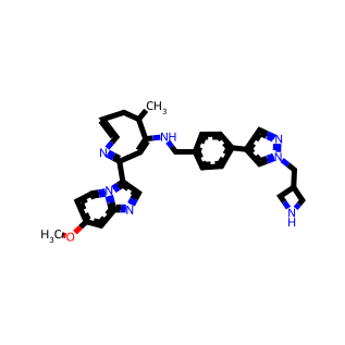 COc1ccn2c(C3=N/C=C/CC(C)/C(NCc4ccc(-c5cnn(CC6CNC6)c5)cc4)=C\3)cnc2c1